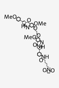 COc1ccc(C2=CC3C(=O)c4cc(OC)c(OCCCOc5cc6c(cc5OC)C(=O)N5C=C(c7cccc(NC(=O)CCCCCN8C(=O)C=CC8=O)c7)C[C@H]5C=N6)cc4N=C[C@@H]3C2)cc1